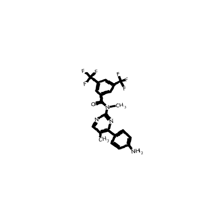 Cc1cnc(N(C)C(=O)c2cc(C(F)(F)F)cc(C(F)(F)F)c2)nc1-c1ccc(N)cc1